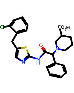 CCOC(=O)C1CCCN(C(C(=O)Nc2ncc(Cc3ccccc3Cl)s2)c2ccccc2)C1